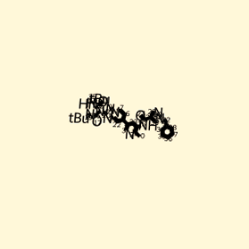 Cc1ncc(-c2ccn3nc(N(C(=O)NC(C)(C)C)C(=O)NC(C)(C)C)nc3c2)cc1NC(=O)c1cnn(Cc2ccccc2)c1